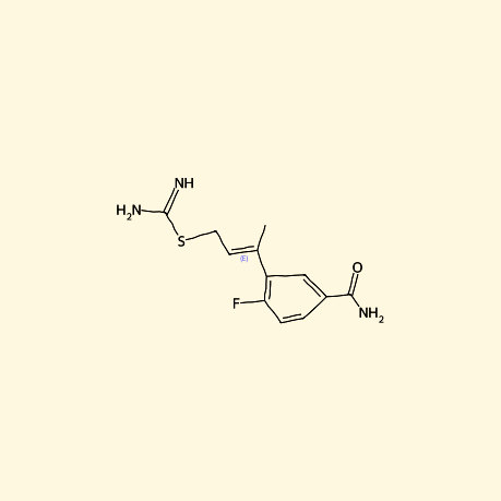 C/C(=C\CSC(=N)N)c1cc(C(N)=O)ccc1F